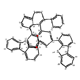 c1ccc(-c2ccc3cccc(-c4ccccc4)c3c2-c2nc(-c3cccc4c3sc3ccccc34)cc(-c3cccc4c3sc3ccccc34)n2)cc1